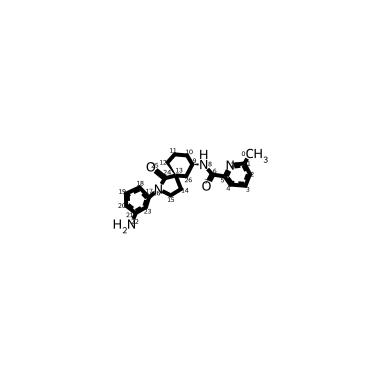 Cc1cccc(C(=O)N[C@H]2CCC[C@]3(CCN(c4cccc(N)c4)C3=O)C2)n1